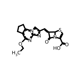 CCOc1nc2nc(C=C3C(=O)N4C(C(=O)O)=CSC34)cn2c2c1CCC2